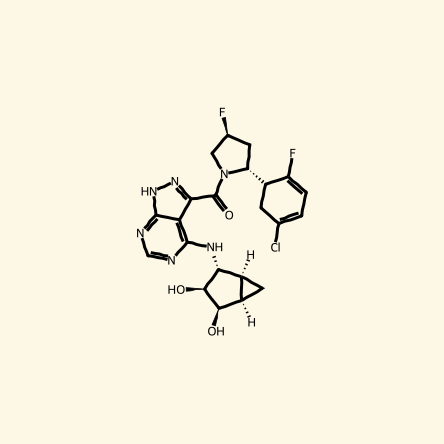 O=C(c1n[nH]c2ncnc(N[C@H]3[C@H](O)[C@H](O)[C@@H]4C[C@@H]43)c12)N1C[C@@H](F)C[C@@H]1C1CC(Cl)=CC=C1F